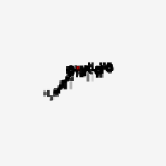 COCCNCCCOc1cccc(Nc2nccc(-c3cnc(-c4cncc(Oc5ccccc5)c4)[nH]3)n2)c1